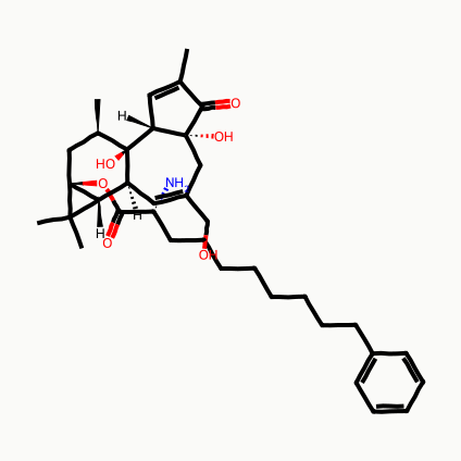 CC1=C[C@H]2[C@@]3(O)[C@H](C)C[C@]4(OC(=O)[C@H](N)CCCCCCCCc5ccccc5)[C@H]([C@@H]3C=C(CO)C[C@]2(O)C1=O)C4(C)C